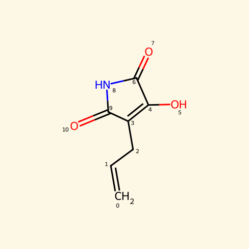 C=CCC1=C(O)C(=O)NC1=O